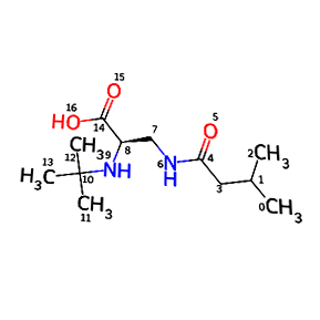 CC(C)CC(=O)NC[C@@H](NC(C)(C)C)C(=O)O